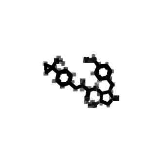 COc1ccc(C[C@H]2NC[C@H](O)[C@H]2OC(=O)NCc2ccc(C3(N)CC3)cc2)cc1